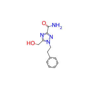 NC(=O)c1nc(CO)n(CCc2ccccc2)n1